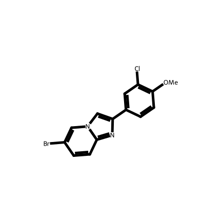 COc1ccc(-c2cn3cc(Br)ccc3n2)cc1Cl